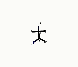 [CH2]C(I)C(C)(C)I